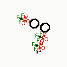 C1=CCCC=CCC1.C1=CCCC=CCC1.O=S(=O)([O-])C(F)(F)F.O=S(=O)([O-])C(F)(F)F.O=S(=O)([O-])C(F)(F)F.[Ir+3]